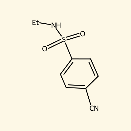 CCNS(=O)(=O)c1ccc(C#N)cc1